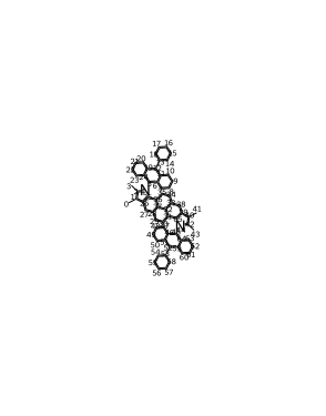 Cc1c(C)n(-c2c3ccccc3c(-c3ccccc3)c3ccccc23)c2c1cc1ccc3c4c(ccc2c14)cc1c(C)c(C)n(-c2c4ccccc4c(-c4ccccc4)c4ccccc24)c13